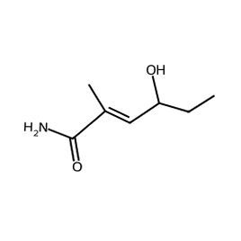 CCC(O)/C=C(\C)C(N)=O